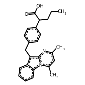 CCCC(C(=O)O)c1ccc(Cc2c3ccccc3n3c(C)cc(C)nc23)cc1